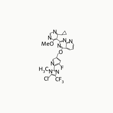 COc1ncnc(C2CC2)c1-c1nc(OCc2cnc(-c3nc(C(F)(F)F)c(Cl)n3C)c(F)c2)c2cccnc2n1